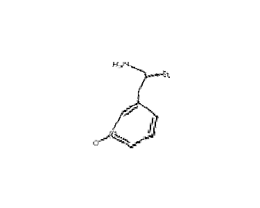 CCC(N)c1ccc[n+]([O-])c1